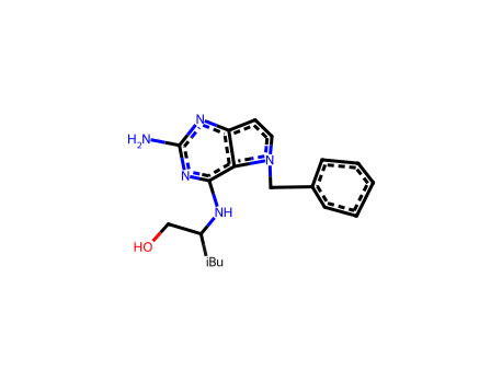 CCC(C)C(CO)Nc1nc(N)nc2ccn(Cc3ccccc3)c12